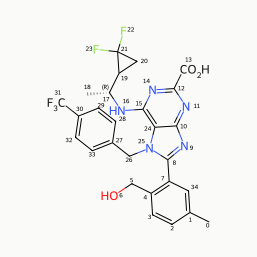 Cc1ccc(CO)c(-c2nc3nc(C(=O)O)nc(N[C@H](C)C4CC4(F)F)c3n2Cc2ccc(C(F)(F)F)cc2)c1